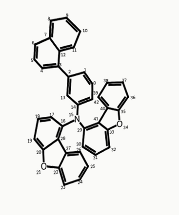 c1cc(-c2cccc3ccccc23)cc(N(c2cccc3oc4ccccc4c23)c2cccc3oc4ccccc4c23)c1